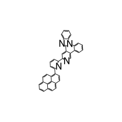 c1cc(-c2cc3c(cn2)c2ccccc2n2c4ccccc4nc32)nc(-c2ccc3ccc4cccc5ccc2c3c45)c1